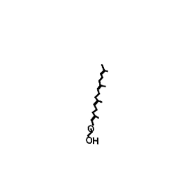 CC(C)=CCC/C(C)=C/CC/C(C)=C/CC/C(C)=C/COCCO